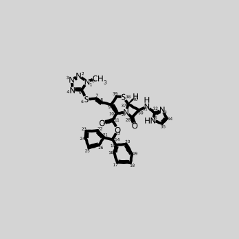 Cn1nnnc1S/C=C/C1=C(C(=O)OC(c2ccccc2)c2ccccc2)N2C(=O)C(Nc3ncc[nH]3)[C@H]2SC1